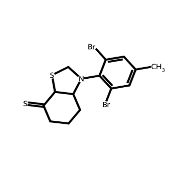 Cc1cc(Br)c(N2CSC3C(=S)CCCC32)c(Br)c1